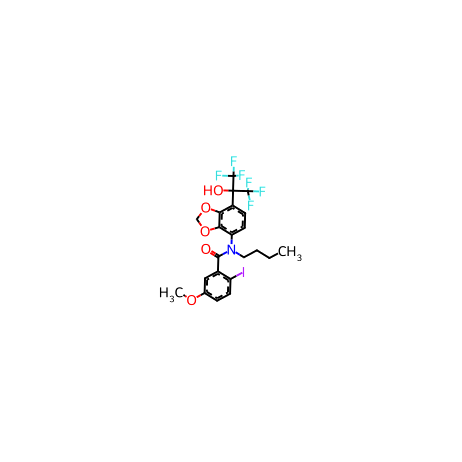 CCCCN(C(=O)c1cc(OC)ccc1I)c1ccc(C(O)(C(F)(F)F)C(F)(F)F)c2c1OCO2